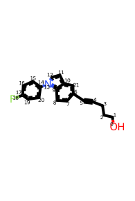 OCCCC#Cc1ccc2c(ccn2-c2ccc(F)cc2)c1